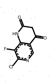 O=C1CC(=O)c2cnc(Cl)c(F)c2N1